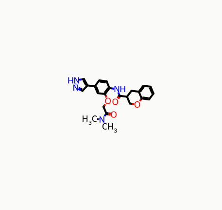 CN(C)C(=O)COc1cc(-c2cn[nH]c2)ccc1NC(=O)C1COc2ccccc2C1